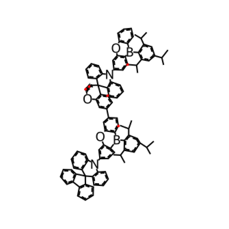 CC(C)c1cc(C(C)C)c(B2c3ccccc3Oc3cc(N4c5ccccc5C5(c6ccccc6Oc6cc(-c7ccc8c(c7)Oc7cc(N9c%10ccccc%10C%10(c%11ccccc%11-c%11ccccc%11%10)c%10ccccc%109)ccc7B8c7c(C(C)C)cc(C(C)C)cc7C(C)C)ccc65)c5ccccc54)ccc32)c(C(C)C)c1